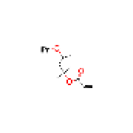 C=CC(=O)OC(C)(C)CC(C)OC(C)C